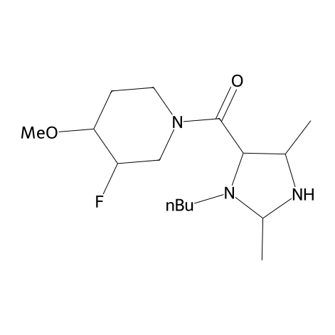 CCCCN1C(C)NC(C)C1C(=O)N1CCC(OC)C(F)C1